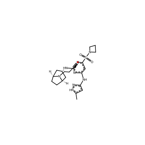 Cc1cc(Nc2cc(S(=O)(=O)N3CCC3)nc(N[C@@H]3C[C@H]4CC[C@@H](C3)N4CCC#N)n2)n[nH]1